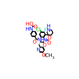 COc1ccc(C[C@H](NC(=O)c2ccc(NC(=O)O)cc2)C(=O)N2C(=O)OC3(CCCNC3)c3c2ccc(Cl)c3F)nc1